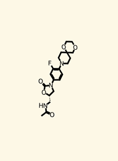 CC(=O)NC[C@H]1CN(c2ccc(N3CCC4(CC3)COCCO4)c(F)c2)C(=O)O1